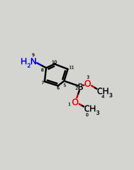 COB(OC)c1ccc(N)cc1